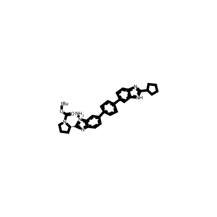 CC(C)(C)OC(=O)N1CCC[C@H]1c1nc2ccc(-c3ccc(-c4ccc5nc(C6CCCC6)[nH]c5c4)cc3)cc2n1N